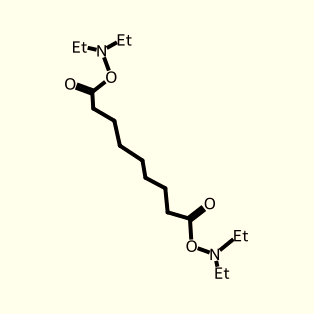 CCN(CC)OC(=O)CCCCCCCC(=O)ON(CC)CC